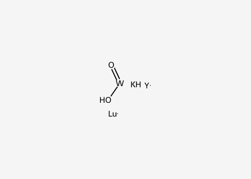 [KH].[Lu].[O]=[W][OH].[Y]